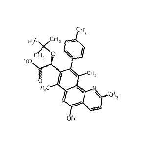 Cc1ccc(-c2c([C@H](OC(C)(C)C)C(=O)O)c(C)c3nc(O)c4ccc(C)nc4c3c2C)cc1